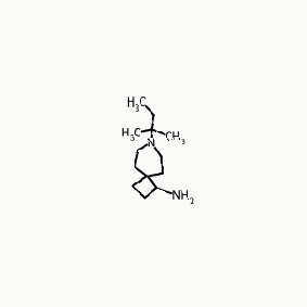 CCC(C)(C)N1CCC2(CCC2N)CC1